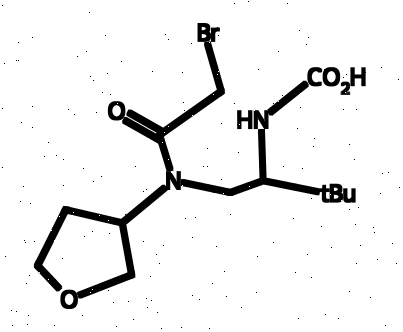 CC(C)(C)C(CN(C(=O)CBr)C1CCOC1)NC(=O)O